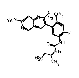 CNc1cc2nc(C)c(-c3cc(NC(=O)NC(C)CC(C)(C)C)c(F)cc3C)cc2cn1